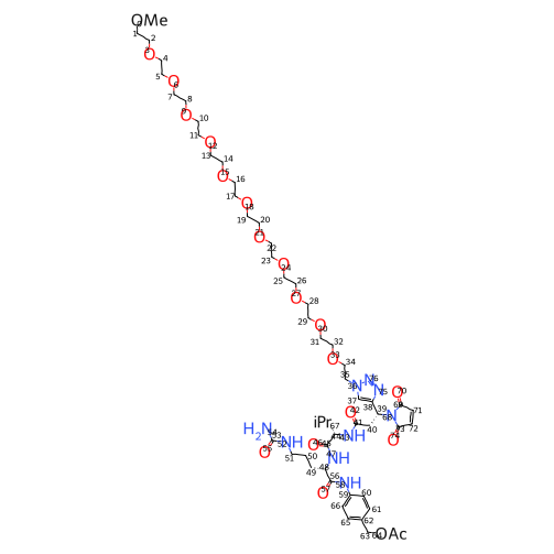 COCCOCCOCCOCCOCCOCCOCCOCCOCCOCCOCCOCCn1cc([C@@H](CC(=O)N[C@H](C(=O)N[C@@H](CCCNC(N)=O)C(=O)Nc2ccc(COC(C)=O)cc2)C(C)C)N2C(=O)C=CC2=O)nn1